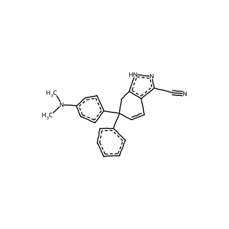 CN(C)c1ccc(C2(c3ccccc3)C=Cc3c(C#N)n[nH]c3C2)cc1